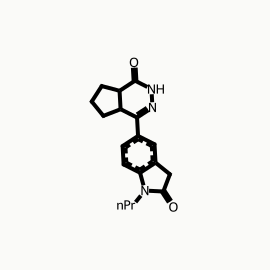 CCCN1C(=O)Cc2cc(C3=NNC(=O)C4CCCC34)ccc21